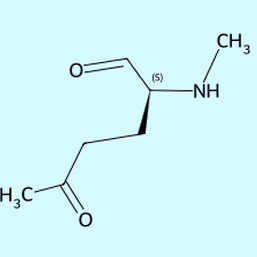 CN[C@H](C=O)CCC(C)=O